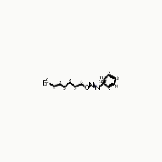 BrCCCCCCO/N=N/c1ccccc1